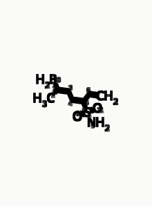 B/C(C)=C/C=C(\C=C)S(N)(=O)=O